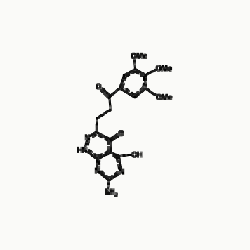 COc1cc(C(=O)CCc2n[nH]c3nc(N)nc(O)c3c2=O)cc(OC)c1OC